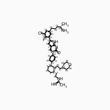 CC(=N)NCC[C@@H]1CCC[C@@H](c2ccc(-n3cc4cc(-c5cc(CCC[C@H](C)N)cc(Cl)c5F)[nH]c4nc3=O)cc2)N1CCN1CCOCC1